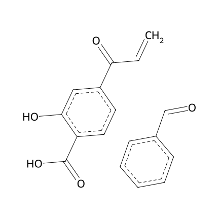 C=CC(=O)c1ccc(C(=O)O)c(O)c1.O=Cc1ccccc1